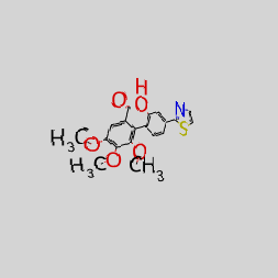 COc1cc(C=O)c(-c2ccc(-c3nccs3)cc2O)c(OC)c1OC